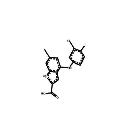 Cc1cc(Nc2ccc(F)c(Cl)c2)c2cc(C(=O)O)[nH]c2c1